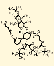 CN(C(=O)OC(C)(C)C)[C@@H]1[C@@H](O)[C@@H](O[C@@H]2[C@@H](O)[C@H](C3OC(CNCCCN)=CC[C@H]3NC(=O)OC(C)(C)C)[C@@H](NC(=O)OC(C)(C)C)C[C@H]2NS(=O)(=O)CCNC(=O)OC(C)(C)C)OC[C@]1(C)O